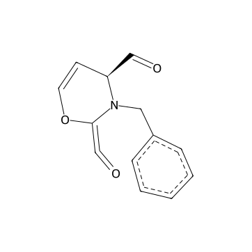 O=C=C1OC=C[C@@H](C=O)N1Cc1ccccc1